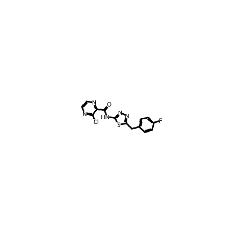 O=C(Nc1nnc(Cc2ccc(F)cc2)s1)c1nccnc1Cl